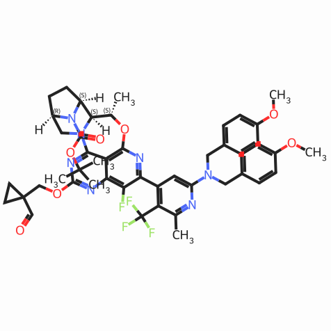 COc1ccc(CN(Cc2ccc(OC)cc2)c2cc(-c3nc4c5c(nc(OCC6(C=O)CC6)nc5c3F)N3C[C@H]5CC[C@@H]([C@H]3[C@H](C)O4)N5C(=O)OC(C)(C)C)c(C(F)(F)F)c(C)n2)cc1